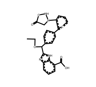 CCOC(c1ccc(-c2ccccc2N2CC(=O)ON2)cc1)c1nc2cccc(C(=O)O)c2[nH]1